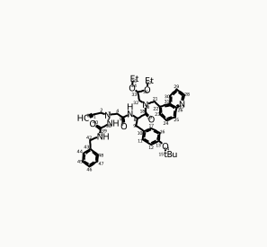 C#CCN(CC(=O)NC(Cc1ccc(OC(C)(C)C)cc1)C(=O)N(Cc1cccc2ncccc12)CC(OCC)OCC)NC(=O)NCc1ccccc1